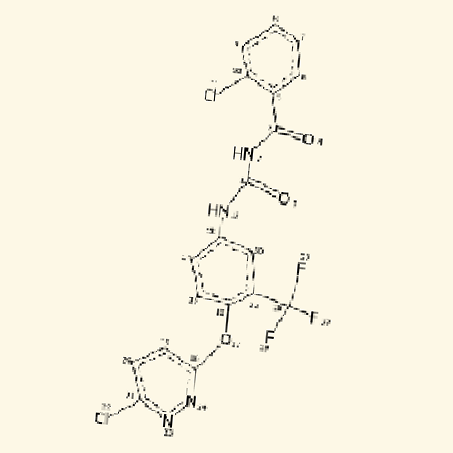 O=C(NC(=O)c1ccccc1Cl)Nc1ccc(Oc2ccc(Cl)nn2)c(C(F)(F)F)c1